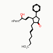 CCCCCC(O)C=CC1C(CC=CCCCC(=O)O)C(=O)CC1c1ccccc1